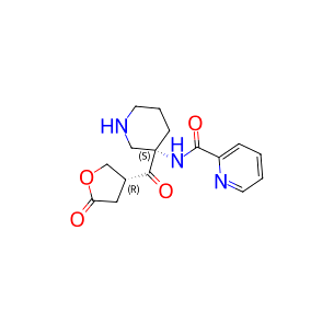 O=C1C[C@@H](C(=O)[C@]2(NC(=O)c3ccccn3)CCCNC2)CO1